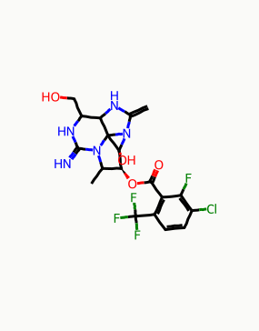 C=C1NC2C(CO)NC(=N)N3C(C)[C@H](OC(=O)c4c(C(F)(F)F)ccc(Cl)c4F)C4(O)N1C234